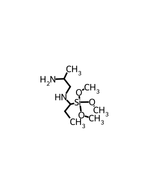 CCC(NCC(C)N)[Si](OC)(OC)OC